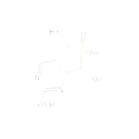 CC1c2cnc(C(=O)O)nc2C(C)S1(=O)=O